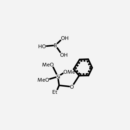 CCC(Oc1ccccc1)[Si](OC)(OC)OC.OB(O)O